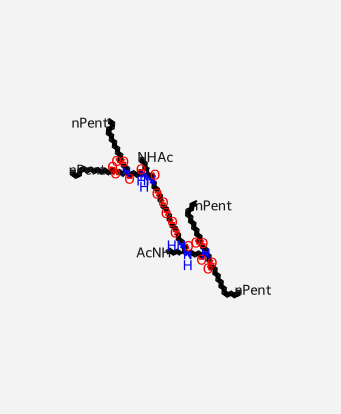 CCCCC/C=C\C/C=C\CCCCCCCC(=O)OCCN(CCOC(=O)CCCCCCC/C=C\C/C=C\CCCCC)C(=O)CCCN[C@@H](CCCCNC(C)=O)C(=O)NCCCOCCOCCOCCOCCOCCCNC(=O)[C@H](CCCCNC(C)=O)NC(=O)CCC(=O)N(CCOC(=O)CCCCCCC/C=C\C/C=C\CCCCC)CCOC(=O)CCCCCCC/C=C\C/C=C\CCCCC